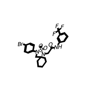 O=C(CN1C2(CCCCC2)CN(c2ccc(Br)cc2)S1(=O)=O)Nc1cccc(C(F)(F)F)c1